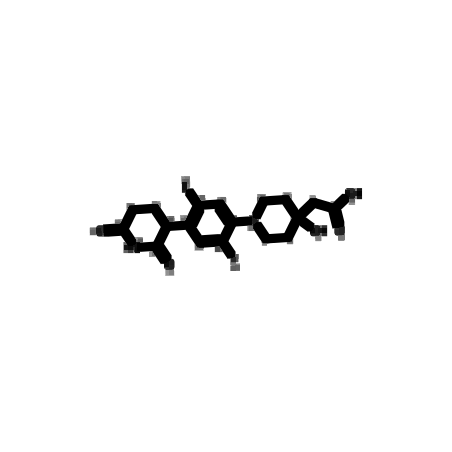 O=C(O)CC1(O)CCN(c2cc(F)c(C3CCC(=O)NC3=O)cc2F)CC1